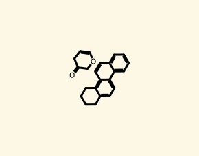 O=C1CC=COC1.c1ccc2c(c1)ccc1c3c(ccc12)CCCC3